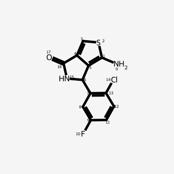 Nc1scc2c1C(c1cc(F)ccc1Cl)NC2=O